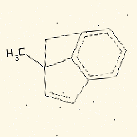 CC12C=Cc3cccc(c31)C2